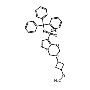 COC1CN([C@@H]2COc3c(S(N)(=O)=NC(c4ccccc4)(c4ccccc4)c4ccccc4)cnn3C2)C1